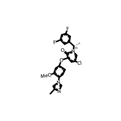 COc1cc(Oc2cc(Cl)cn([C@@H](C)c3cc(F)cc(F)c3)c2=O)ccc1-n1cnc(C)c1